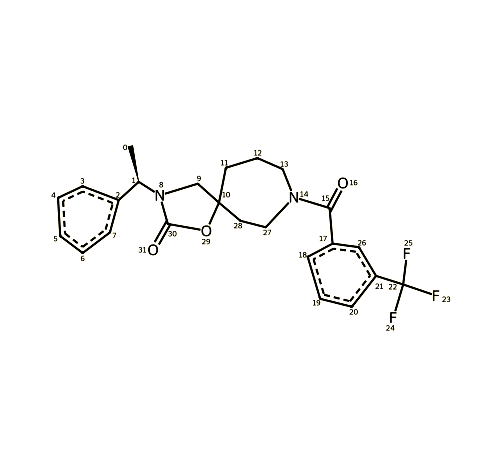 C[C@H](c1ccccc1)N1CC2(CCCN(C(=O)c3cccc(C(F)(F)F)c3)CC2)OC1=O